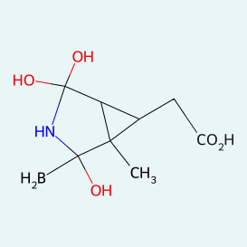 BC1(O)NC(O)(O)C2C(CC(=O)O)C21C